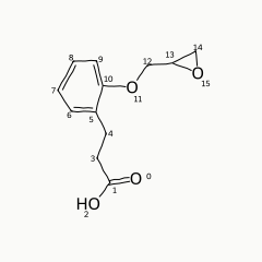 O=C(O)CCc1ccccc1OCC1CO1